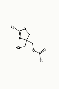 CCC(=O)OCC1(CO)COC(CC)=N1